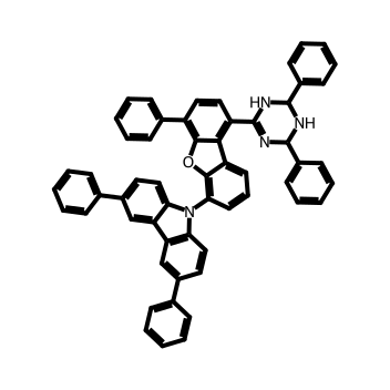 c1ccc(-c2ccc3c(c2)c2cc(-c4ccccc4)ccc2n3-c2cccc3c2oc2c(-c4ccccc4)ccc(C4=NC(c5ccccc5)NC(c5ccccc5)N4)c23)cc1